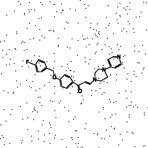 O=C(C=CN1CCN(c2ccncc2)CC1)c1ccc(OCc2ccc(F)cc2)cc1